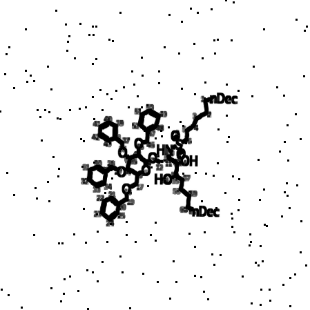 CCCCCCCCCCCCCCCCS(=O)(=O)N[C@@H](CO[C@H]1OC(COCc2ccccc2)[C@H](OCc2ccccc2)[C@@H](OCc2ccccc2)C1OCc1ccccc1)[C@H](O)[C@H](O)CCCCCCCCCCCCCC